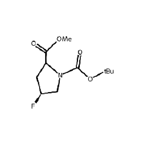 COC(=O)C1C[C@H](F)CN1C(=O)OC(C)(C)C